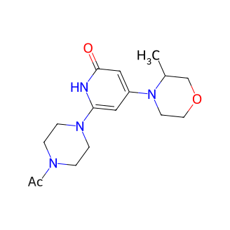 CC(=O)N1CCN(c2cc(N3CCOCC3C)cc(=O)[nH]2)CC1